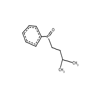 CC(C)CC[P](=O)c1ccccc1